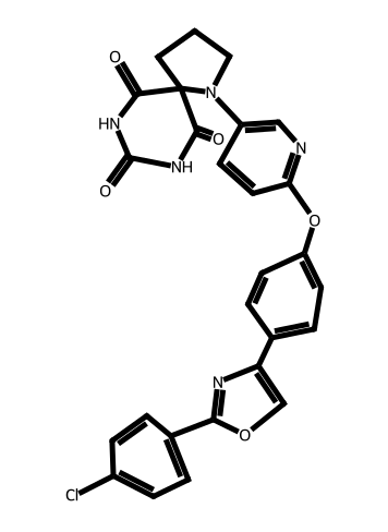 O=C1NC(=O)C2(CCCN2c2ccc(Oc3ccc(-c4coc(-c5ccc(Cl)cc5)n4)cc3)nc2)C(=O)N1